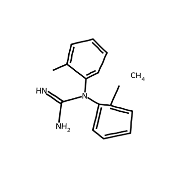 C.Cc1ccccc1N(C(=N)N)c1ccccc1C